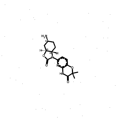 CC1(C)Oc2ccc(N3C(=O)O[C@H]4C[C@@H](N)CC[C@@H]43)nc2NC1=O